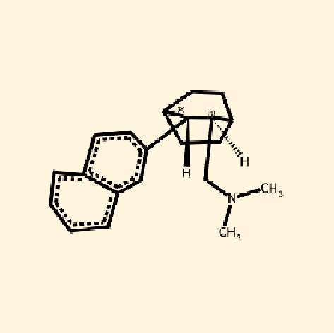 CN(C)C[C@@H]1C2CCC(CC2)[C@H]1c1ccc2ccccc2c1